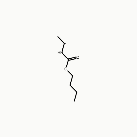 C[CH]NC(=O)OCCCC